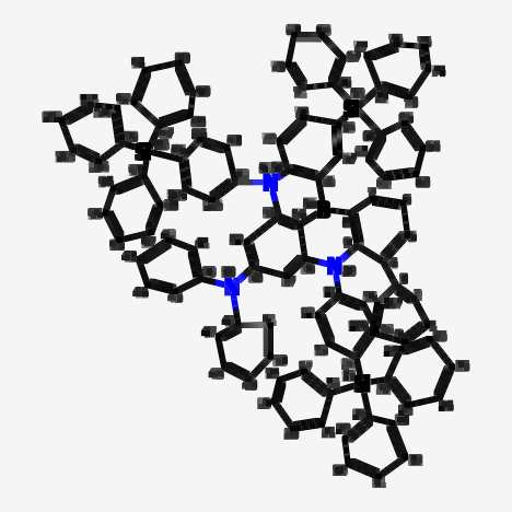 c1ccc(-c2cccc3c2N(c2ccc([Si](c4ccccc4)(c4ccccc4)c4ccccc4)cc2)c2cc(N(c4ccccc4)c4ccccc4)cc4c2B3c2cc([Si](c3ccccc3)(c3ccccc3)c3ccccc3)ccc2N4c2ccc([Si](c3ccccc3)(c3ccccc3)c3ccccc3)cc2)cc1